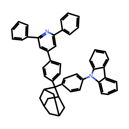 c1ccc(-c2cc(-c3ccc(C4(c5ccc(-n6c7ccccc7c7ccccc76)cc5)C5CC6CC(C5)CC4C6)cc3)cc(-c3ccccc3)n2)cc1